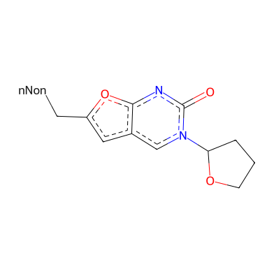 CCCCCCCCCCc1cc2cn(C3CCCO3)c(=O)nc2o1